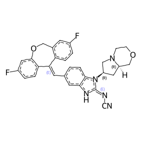 N#C/N=c1\[nH]c2cc(/C=C3\c4ccc(F)cc4COc4cc(F)ccc43)ccc2n1[C@@H]1C[C@@H]2COCCN2C1